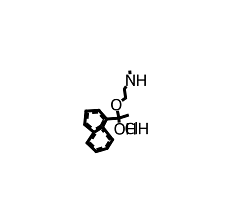 CNCCOC(C)(O)c1cccc2ccccc12.Cl